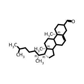 CC(C)CCC[C@@H](C)[C@H]1CCC2C3CC=C4CC([C]=O)CC[C@]4(C)C3CC[C@@]21C